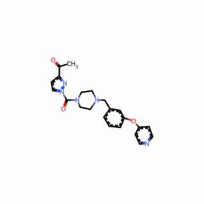 CC(=O)c1ccn(C(=O)N2CCN(Cc3cccc(Oc4ccncc4)c3)CC2)n1